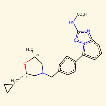 C1CC1.C[C@@H]1CN(Cc2ccc(-c3cccc4nc(NC(=O)O)nn34)cc2)C[C@H](C)O1